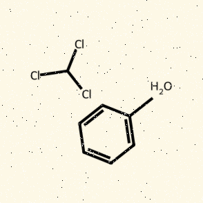 Cc1ccccc1.ClC(Cl)Cl.O